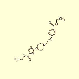 CCOC(=O)c1ccc(OCCN2CCN(c3nc(C(=O)OCC)cs3)CC2)cc1